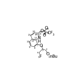 CCCCOCC(CF)Oc1cccc2c1N[C@H](OS(=O)(=O)C(F)(F)F)C=C2